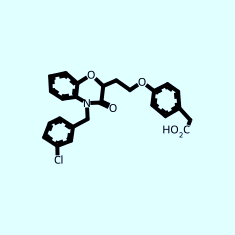 O=C(O)Cc1ccc(OCCC2Oc3ccccc3N(Cc3cccc(Cl)c3)C2=O)cc1